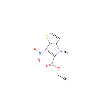 CCOC(=O)c1c([N+](=O)[O-])c2sccc2n1C